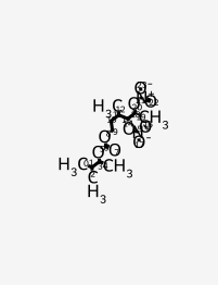 CC(C)C(C)OC(=O)OCCC(C)[C@@H](O[N+](=O)[O-])[C@@H](C)O[N+](=O)[O-]